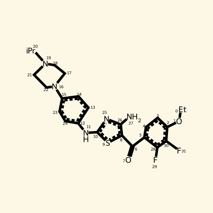 CCOc1ccc(C(=O)c2sc(Nc3ccc(N4CCN(C(C)C)CC4)cc3)nc2N)c(F)c1F